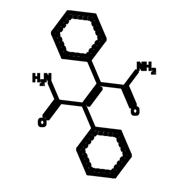 NC(=O)C(=C(C(N)=O)c1ccccc1)c1ccccc1